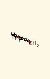 C=CC1CCC(C2CCC(c3ccc(-c4ccc(-c5ccc(C6CO6)c(F)c5F)cc4)c(F)c3)CC2)CC1